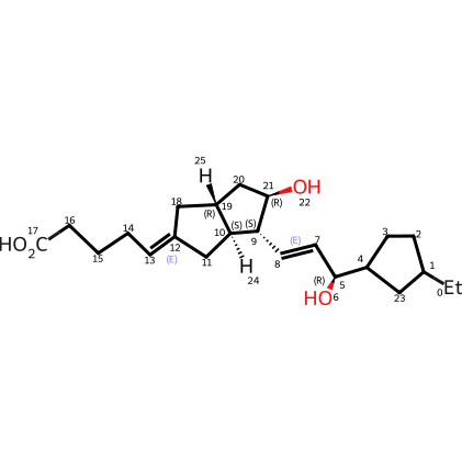 CCC1CCC([C@@H](O)/C=C/[C@@H]2[C@H]3C/C(=C/CCCC(=O)O)C[C@@H]3C[C@H]2O)C1